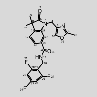 Cc1nc(CN2C(=O)C(C)(C)c3ccc(C(=O)NCc4c(F)cc(F)cc4F)cc32)co1